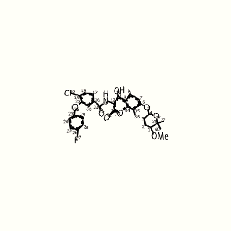 COC1CCC(Oc2ccc3c(O)c(NC(=O)c4ccc(Cl)c(Oc5ccc(F)cc5)c4)c(=O)oc3c2C)OC1(C)C